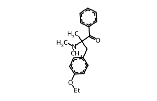 CCOc1ccc(CC(C)(C(=O)c2ccccc2)N(C)C)cc1